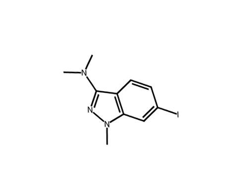 CN(C)c1nn(C)c2cc(I)ccc12